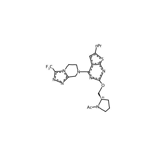 CCCc1cc2c(N3CCn4c(nnc4C(F)(F)F)C3)nc(OC[C@H]3CCCN3C(C)=O)nc2s1